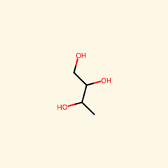 CC(O)[C](O)CO